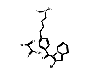 CCc1cc2ccccn2c1C(=O)c1ccc(CCCCN(CC)CC)cc1.O=C(O)C(=O)O